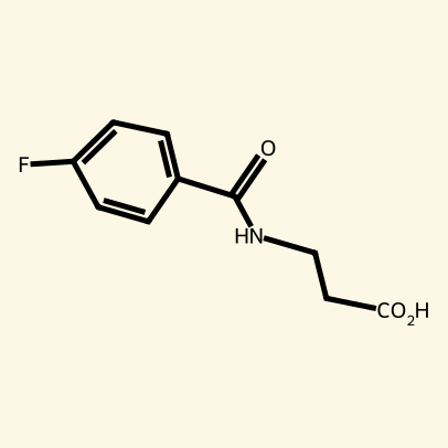 O=C(O)CCNC(=O)c1ccc(F)cc1